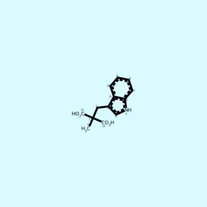 CC(Cc1c[nH]c2ccccc12)(C(=O)O)C(=O)O